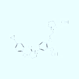 COc1cc(N2CC[C@@H](Oc3ccc(C4CC4)cc3)C2=O)ccc1OCCN1CCC[C@@H]1CO